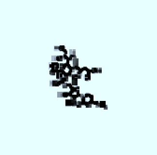 Nc1ccn(C2OC(COP(=O)(O)O[C@@]3(C(=O)O)C[C@@H](O)[C@@H](NC(=O)CC(=O)O)C([C@H](O)[C@H](O)CO)O3)[C@@H](O)[C@H]2O)c(=O)n1